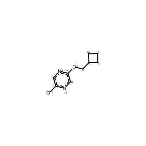 Clc1cnc(OCC2CCC2)cn1